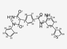 CN(C(=O)C(C(N)=O)c1ccc(C(=O)Nc2cc(-c3ccsc3)ccc2N)cc1)c1ccccc1